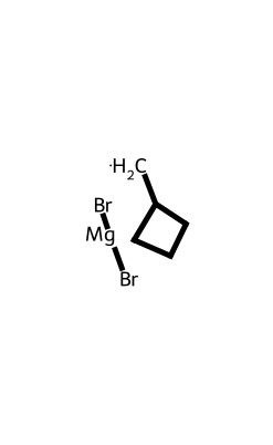 [Br][Mg][Br].[CH2]C1CCC1